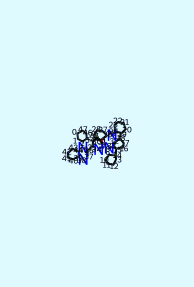 c1ccc(-c2ccc(-n3c4ccccc4c4ccc5c6ccccc6n(-c6ccccc6)c5c43)nc2-c2cnc3ccccc3n2)cc1